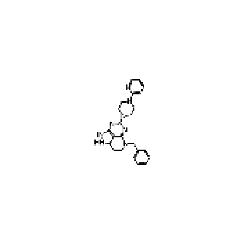 c1ccc(CN2CCC3NNc4nc(N5CCN(c6ccccn6)CC5)nc2c43)cc1